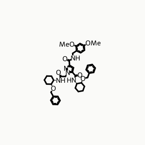 COc1ccc(CNC(=O)c2cc(C(=O)N[C@H]3CCCC[C@@H]3OCc3ccccc3)n(CC(=O)N[C@H]3CCCC[C@@H]3OCc3ccccc3)n2)c(OC)c1